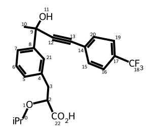 CC(C)OC(Cc1cccc(C(C)(O)C#Cc2ccc(C(F)(F)F)cc2)c1)C(=O)O